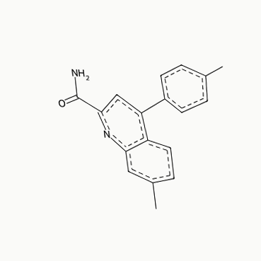 Cc1ccc(-c2cc(C(N)=O)nc3cc(C)ccc23)cc1